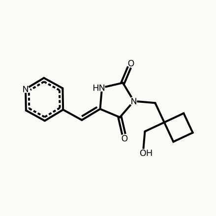 O=C1N/C(=C\c2ccncc2)C(=O)N1CC1(CO)CCC1